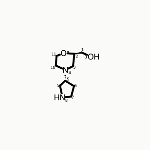 OC[C@H]1CN([C@@H]2CCNC2)CCO1